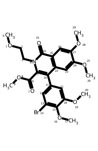 COCCn1c(C(=O)OC)c(-c2cc(Br)c(OC)c(OC)c2)c2cc(OC)c(OC)cc2c1=O